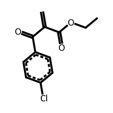 C=C(C(=O)OCC)C(=O)c1ccc(Cl)cc1